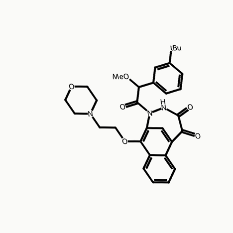 COC(C(=O)N1NC(=O)C(=O)c2cc1c(OCCN1CCOCC1)c1ccccc21)c1cccc(C(C)(C)C)c1